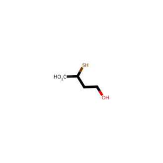 O=C(O)C(S)CCO